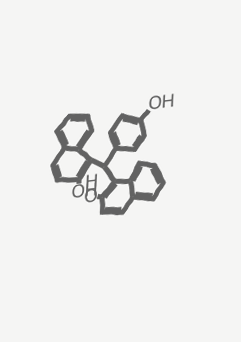 Oc1ccc(C(c2c(O)ccc3ccccc23)c2c(O)ccc3ccccc23)cc1